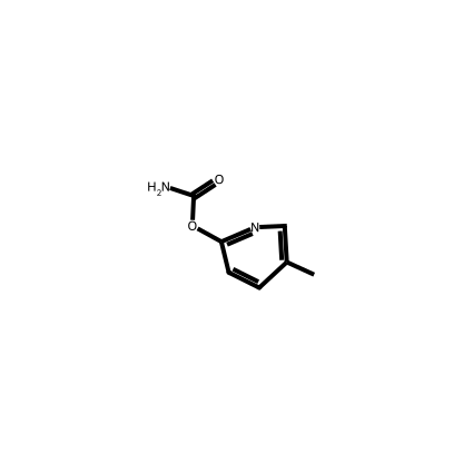 Cc1ccc(OC(N)=O)nc1